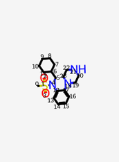 CS(=O)(=O)N(CC1CCCCC1)c1ccccc1N1CCNCC1